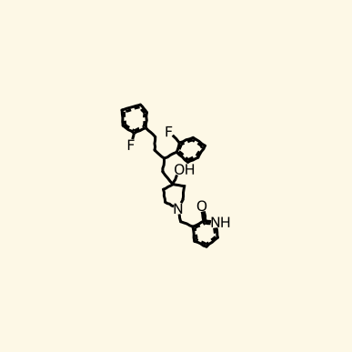 O=c1[nH]cccc1CN1CCC(O)(CC(CCc2ccccc2F)c2ccccc2F)CC1